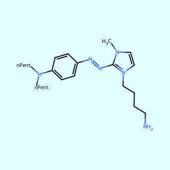 CCCCCN(CCCCC)c1ccc(/N=N/c2n(C)cc[n+]2CCCCN)cc1